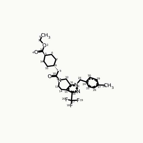 CCOC(=O)[C@H]1CC[C@H](CC(=O)N2CCc3c(C(F)(F)F)nn(Cc4ccc(C)cc4)c3C2)CC1